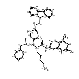 NCCCC[C@H](NC(=O)[C@H](COCc1ccccc1)NC(=O)OCC1c2ccccc2-c2ccccc21)C(=O)Nc1ccc2c(C(F)(F)F)cc(=O)[nH]c2c1